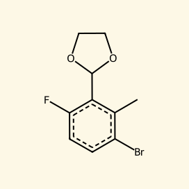 Cc1c(Br)ccc(F)c1C1OCCO1